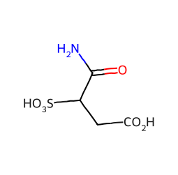 NC(=O)C(CC(=O)O)S(=O)(=O)O